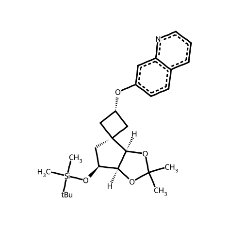 CC1(C)O[C@H]2[C@@H](O[Si](C)(C)C(C)(C)C)C[C@]3(C[C@@H](Oc4ccc5cccnc5c4)C3)[C@H]2O1